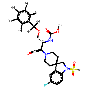 [2H]c1c([2H])c([2H])c(C([2H])([2H])OC[C@H](NC(=O)OC(C)(C)C)C(=C=O)N2CCC3(CC2)CN(S(C)(=O)=O)c2ccc(F)cc23)c([2H])c1[2H]